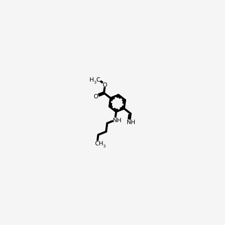 CCCCNc1cc(C(=O)OC)ccc1C=N